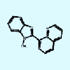 Cn1c(-c2cccc3cccnc23)nc2ccccc21